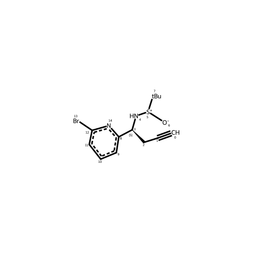 C#CC[C@H](N[S+]([O-])C(C)(C)C)c1cccc(Br)n1